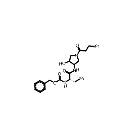 CC(C)CCC(=O)N1CC(O)C(NC(=O)[C@H](CC(C)C)NC(=O)OCc2ccccc2)C1